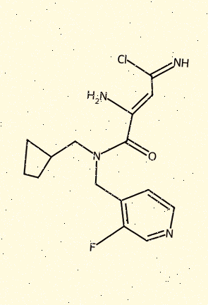 N=C(Cl)/C=C(\N)C(=O)N(Cc1ccncc1F)CC1CCC1